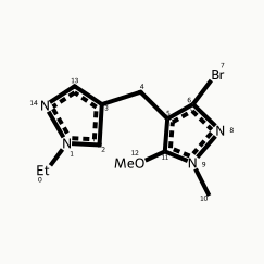 CCn1cc(Cc2c(Br)nn(C)c2OC)cn1